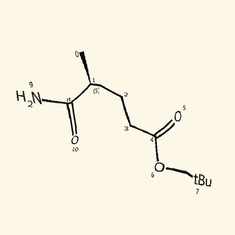 C[C@@H](CCC(=O)OC(C)(C)C)C(N)=O